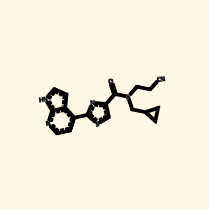 N#CCCN(CC1CC1)C(=O)c1csc(-c2ccnc3[nH]ccc23)n1